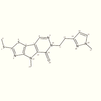 CSc1nc2c(s1)c1cnn(CCc3ccn(C)n3)c(=O)c1n2C